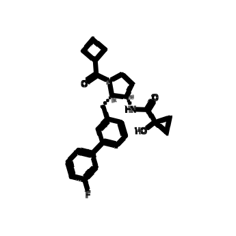 O=C(C1CCC1)N1CC[C@H](NC(=O)C2(O)CC2)[C@@H]1Cc1cccc(-c2cccc(F)c2)c1